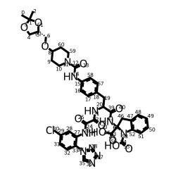 CC1(C)OC[C@@H](COC2CCN(C(=O)Nc3ccc(CC(NC(=O)C(=O)Nc4cc(Cl)ccc4-n4cnnn4)C(=O)N[C@@]4(C(=O)O)Cc5ccccc5N4C(=O)O)cc3)CC2)O1